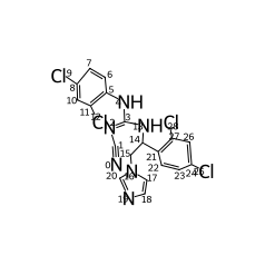 N#CN=C(Nc1ccc(Cl)cc1Cl)NC(Cn1ccnc1)c1ccc(Cl)cc1Cl